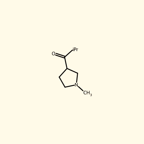 CC(C)C(=O)C1CCN(C)C1